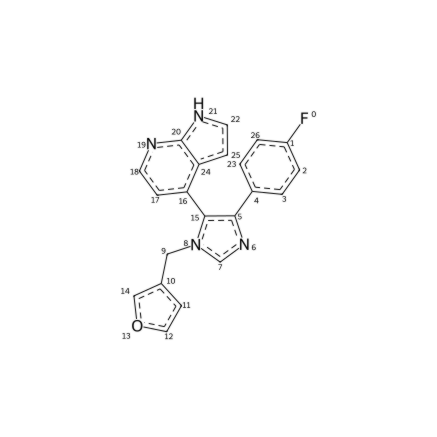 Fc1ccc(-c2ncn(Cc3ccoc3)c2-c2ccnc3[nH]ccc23)cc1